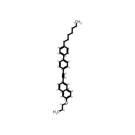 CCCCCCCc1ccc(-c2ccc(C#Cc3ccc4cc(OCCC)ccc4c3)cc2)cc1